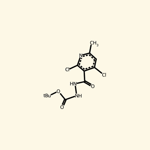 Cc1cc(Cl)c(C(=O)NNC(=O)OC(C)(C)C)c(Cl)n1